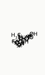 CN1C=C2C(=C(C3=CCCN(CC(=O)O)C3)C1)NN=C1C=Cc3cc(F)cc2c31